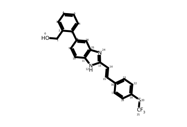 OCc1ccccc1-c1ccc2[nH]c(C=Cc3ccc(SC(F)(F)F)cc3)nc2c1